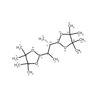 CC(B1OC(C)(C)C(C)(C)O1)[C@H](C)B1OC(C)(C)C(C)(C)O1